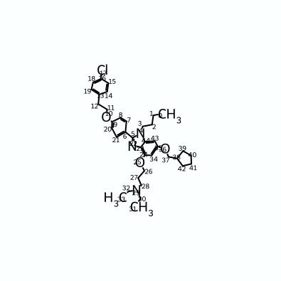 CCCCn1c(-c2ccc(OCCc3ccc(Cl)cc3)cc2)nc2c(OCCCN(CC)CC)cc(OCC3CCCC3)cc21